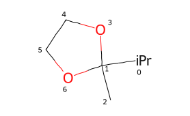 CC(C)C1(C)OCCO1